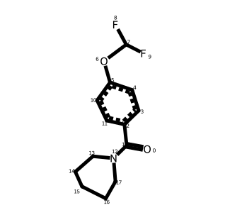 O=C(c1ccc(OC(F)F)cc1)N1CCCCC1